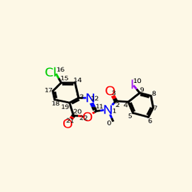 CN(C(=O)c1ccccc1I)c1nc2cc(Cl)ccc2c(=O)o1